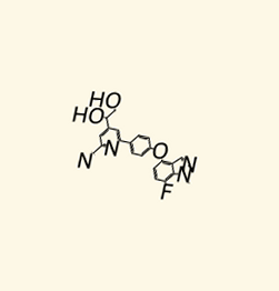 Cn1ncc2c(Oc3ccc(-c4cc(C(O)CO)cc(C#N)n4)cc3)ccc(F)c21